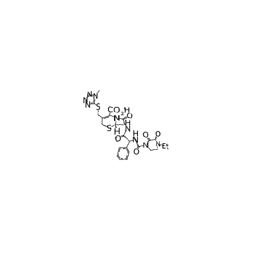 CCN1CCN(C(=O)NC(C(=O)NC2C(=O)N3C(C(=O)O)=C(CSc4nnnn4C)CS[C@@H]23)c2ccccc2)C(=O)C1=O